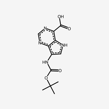 CC(C)(C)OC(=O)Nc1c[nH]c2c(C(=O)O)ncnc12